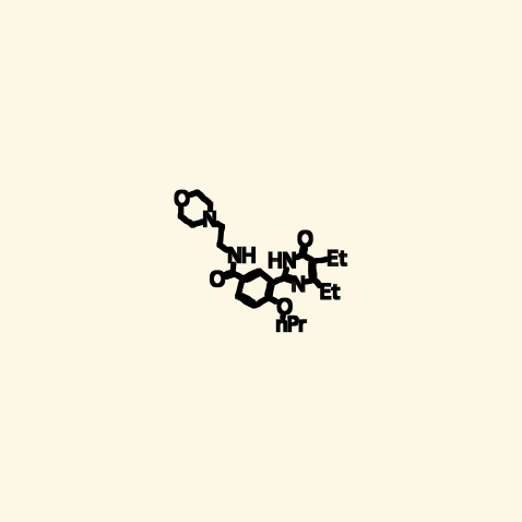 CCCOc1ccc(C(=O)NCCN2CCOCC2)cc1-c1nc(CC)c(CC)c(=O)[nH]1